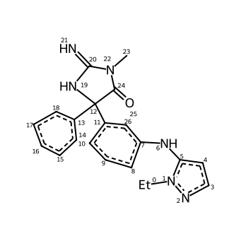 CCn1nccc1Nc1cccc(C2(c3ccccc3)NC(=N)N(C)C2=O)c1